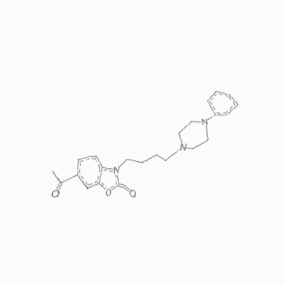 CC(=O)c1ccc2c(c1)oc(=O)n2CCCCN1CCN(c2ccccc2)CC1